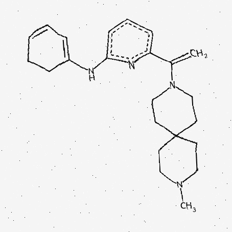 C=C(c1cccc(NC2=CC=CCC2)n1)N1CCC2(CCN(C)CC2)CC1